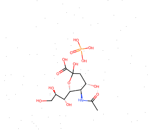 CC(=O)N[C@H]1[C@H]([C@H](O)[C@H](O)CO)OC(O)(C(=O)O)C[C@@H]1O.O=P(O)(O)O